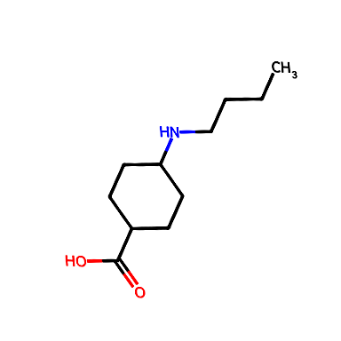 CCCCNC1CCC(C(=O)O)CC1